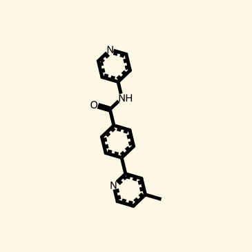 Cc1ccnc(-c2ccc(C(=O)Nc3ccncc3)cc2)c1